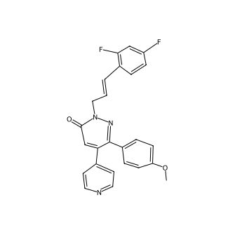 COc1ccc(-c2nn(CC=Cc3ccc(F)cc3F)c(=O)cc2-c2ccncc2)cc1